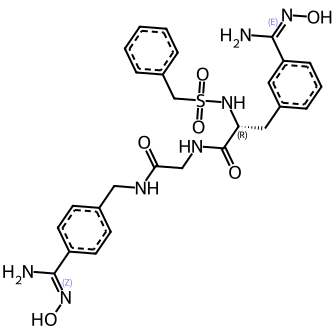 N/C(=N\O)c1ccc(CNC(=O)CNC(=O)[C@@H](Cc2cccc(/C(N)=N\O)c2)NS(=O)(=O)Cc2ccccc2)cc1